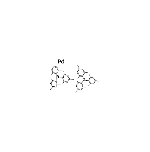 Cc1cc(C)c(P(c2c(C)cc(C)cc2C)c2c(C)cc(C)cc2C)c(C)c1.Cc1cc(C)c(P(c2c(C)cc(C)cc2C)c2c(C)cc(C)cc2C)c(C)c1.[Pd]